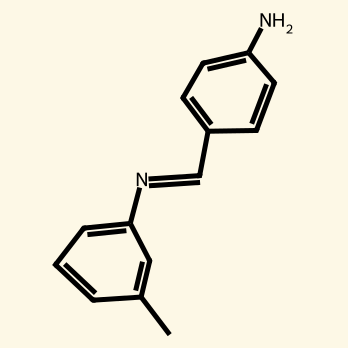 Cc1cccc(N=Cc2ccc(N)cc2)c1